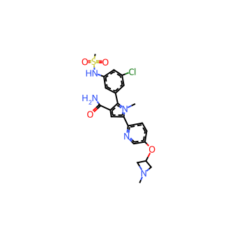 CN1CC(Oc2ccc(-c3cc(C(N)=O)c(-c4cc(Cl)cc(NS(C)(=O)=O)c4)n3C)nc2)C1